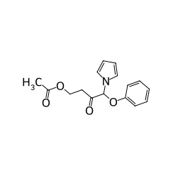 CC(=O)OCCC(=O)C(Oc1ccccc1)n1cccc1